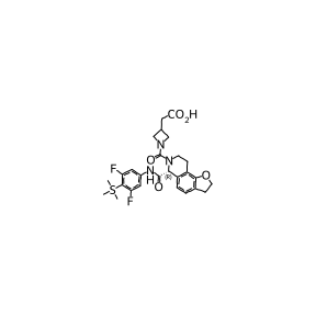 CS(C)(C)c1c(F)cc(NC(=O)[C@H]2c3ccc4c(c3CCN2C(=O)N2CC(CC(=O)O)C2)OCC4)cc1F